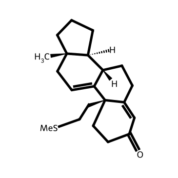 CSCC[C@]12CCC(=O)C=C1CC[C@@H]1C2=CC[C@]2(C)CCC[C@@H]12